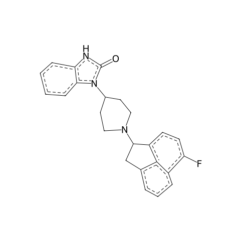 O=c1[nH]c2ccccc2n1C1CCN(C2Cc3cccc4c(F)ccc2c34)CC1